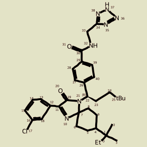 CCC(C)(C)C1CCC2(CC1)N=C(c1cccc(Cl)c1)C(=O)N2[C@H](CCC(C)(C)C)c1ccc(C(=O)NCc2nn[nH]n2)cc1